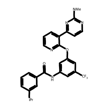 CNc1nccc(-c2cccnc2Oc2cc(NC(=O)c3cccc(C(C)C)c3)cc(C(F)(F)F)c2)n1